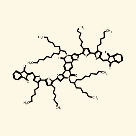 CCCCCCCCC(CCCCCC)Cn1c(=O)c2cc3c(cc2c2sc(-c4sc(-c5sc(C=C6C(=O)c7ccccc7C6=O)cc5CCCCCC)cc4CCCCCC)cc21)c(=O)n(CC(CCCCCC)CCCCCCCC)c1cc(-c2sc(-c4sc(C=C5C(=O)c6ccccc6C5=O)cc4CCCCCC)cc2CCCCCC)sc31